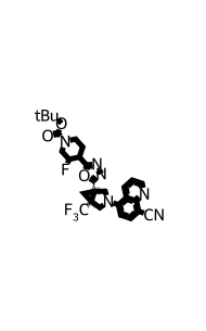 CC(C)(C)OC(=O)N1CCC(c2nnc([C@]34CN(c5ccc(C#N)c6ncccc56)C[C@@]3(C(F)(F)F)C4)o2)C(F)C1